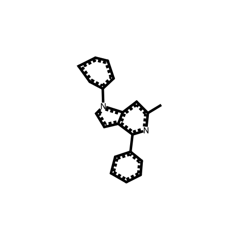 Cc1cc2c(ccn2-c2ccccc2)c(-c2ccccc2)n1